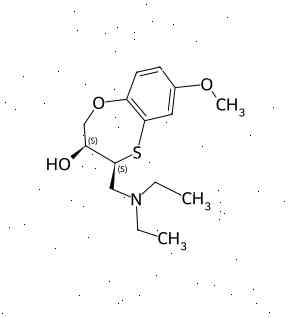 CCN(CC)C[C@@H]1Sc2cc(OC)ccc2OC[C@@H]1O